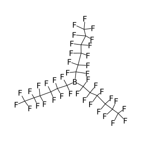 FC(F)(F)C(F)(F)C(F)(F)C(F)(F)C(F)(F)C(F)(F)B(C(F)(F)C(F)(F)C(F)(F)C(F)(F)C(F)(F)C(F)(F)F)C(F)(F)C(F)(F)C(F)(F)C(F)(F)C(F)(F)C(F)(F)F